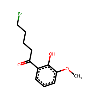 COc1cccc(C(=O)CCCCBr)c1O